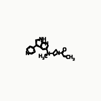 C=CC(=O)N1CC(N(C)c2cnc3[nH]cc(-c4ccncc4)c3c2)C1